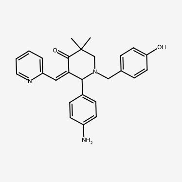 CC1(C)CN(Cc2ccc(O)cc2)C(c2ccc(N)cc2)C(=Cc2ccccn2)C1=O